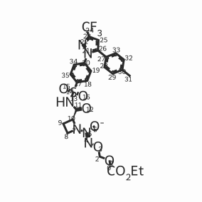 CCOC(=O)OCON=[N+]([O-])N1CC[C@H]1C(=O)NS(=O)(=O)c1ccc(-n2nc(C(F)(F)F)cc2-c2ccc(C)cc2)cc1